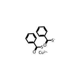 O=C([S-])c1ccccc1.O=C([S-])c1ccccc1.[Cu+2]